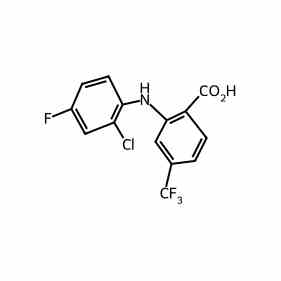 O=C(O)c1ccc(C(F)(F)F)cc1Nc1ccc(F)cc1Cl